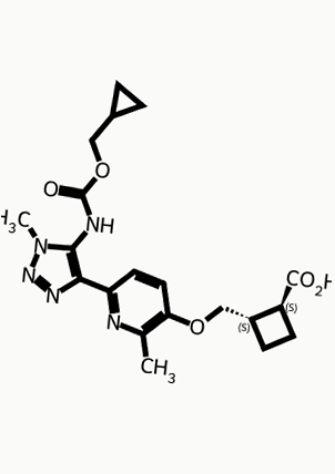 Cc1nc(-c2nnn(C)c2NC(=O)OCC2CC2)ccc1OC[C@H]1CC[C@@H]1C(=O)O